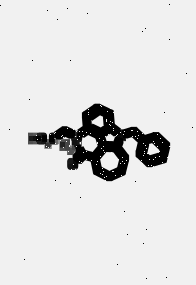 NC(=O)C1CCCCc2c1c1c(OCC(=O)O)cccc1n2Cc1ccccc1